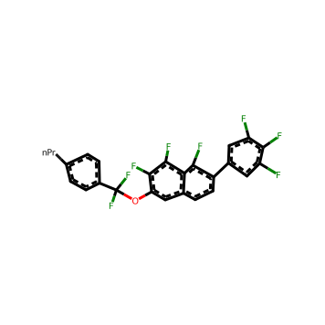 CCCc1ccc(C(F)(F)Oc2cc3ccc(-c4cc(F)c(F)c(F)c4)c(F)c3c(F)c2F)cc1